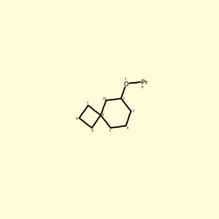 CC(C)OC1CCCC2(CCC2)C1